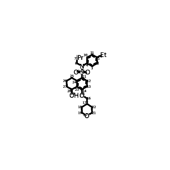 CCc1ccc(N(CC(C)C)S(=O)(=O)c2ccc(OCC3CCOCC3)c3c2CCCC3O)cc1